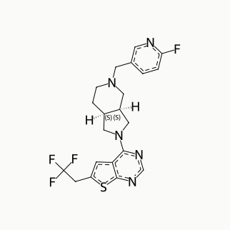 Fc1ccc(CN2CC[C@@H]3CN(c4ncnc5sc(CC(F)(F)F)cc45)C[C@@H]3C2)cn1